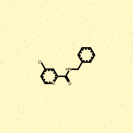 O=C(NCc1ccccc1)c1cc(Cl)ccn1